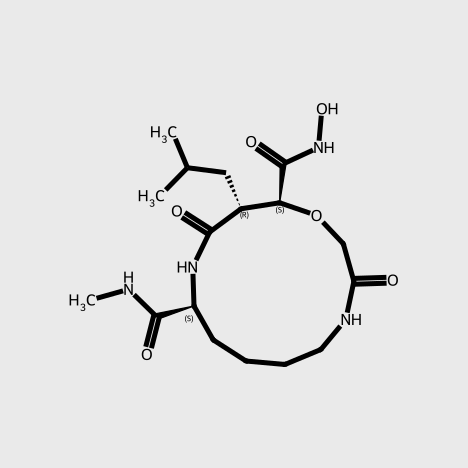 CNC(=O)[C@@H]1CCCCNC(=O)CO[C@H](C(=O)NO)[C@@H](CC(C)C)C(=O)N1